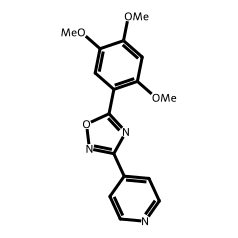 COc1cc(OC)c(-c2nc(-c3ccncc3)no2)cc1OC